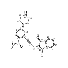 COC(=O)c1ccc(N2CCNCC2)cc1C#CCN1C(=O)c2ccccc2C1=O